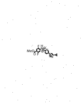 COC(=O)c1cc(F)c(NS(=O)(=O)c2ccc(-n3cc(C4CC4)nn3)cn2)cc1F